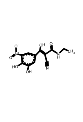 CCNC(=O)/C(C#N)=C(\O)c1cc(O)c(O)c([N+](=O)[O-])c1